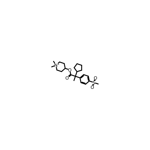 CC(C(=O)OC1CC[N+](C)(C)CC1)(c1ccc(S(C)(=O)=O)cc1)C1CCCC1